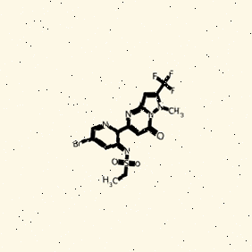 CCS(=O)(=O)N=C1C=C(Br)C=NC1c1cc(=O)n2c(cc(C(F)(F)F)n2C)n1